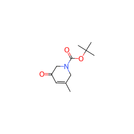 CC1=CC(=O)CN(C(=O)OC(C)(C)C)C1